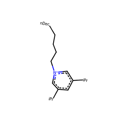 CCCCCCCCCCCCCC[n+]1cc(C(C)C)cc(C(C)C)c1